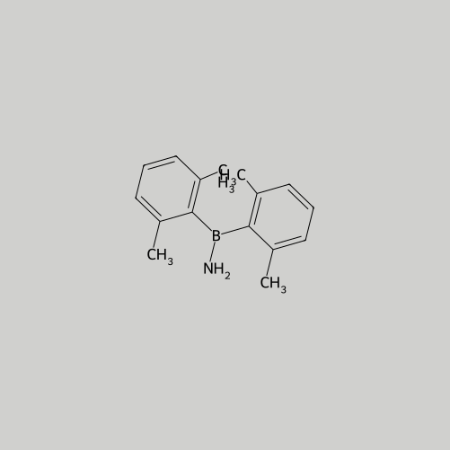 Cc1cccc(C)c1B(N)c1c(C)cccc1C